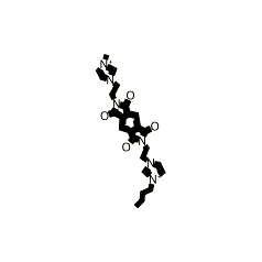 CCCC[n+]1ccn(CCn2c(=O)c3cc4c(=O)n(CCn5cc[n+](C)c5)c(=O)c4cc3c2=O)c1